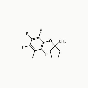 BC(CC)(CC)Oc1c(F)c(F)c(F)c(F)c1F